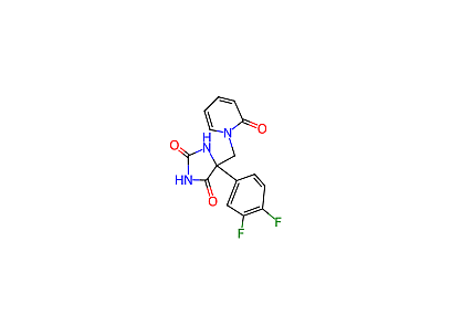 O=C1NC(=O)C(Cn2ccccc2=O)(c2ccc(F)c(F)c2)N1